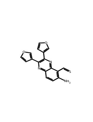 Nc1ccc2nc(-c3ccoc3)c(-c3ccoc3)nc2c1C=S